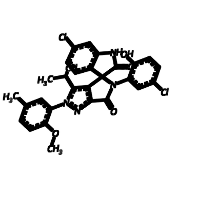 COc1ccc(C)cc1-n1nc2c(c1C(C)C)C1(C(=O)Nc3cc(Cl)ccc31)N(c1cc(Cl)ccc1O)C2=O